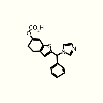 O=C(O)OC1=Cc2sc(C(c3ccccc3)n3ccnc3)cc2CC1